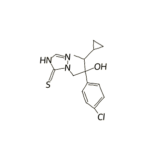 CC(C1CC1)C(O)(Cn1nc[nH]c1=S)c1ccc(Cl)cc1